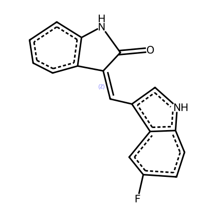 O=C1Nc2ccccc2/C1=C/c1c[nH]c2ccc(F)cc12